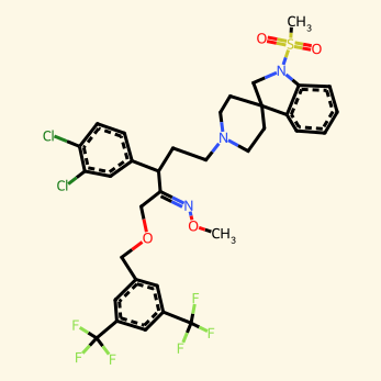 CON=C(COCc1cc(C(F)(F)F)cc(C(F)(F)F)c1)C(CCN1CCC2(CC1)CN(S(C)(=O)=O)c1ccccc12)c1ccc(Cl)c(Cl)c1